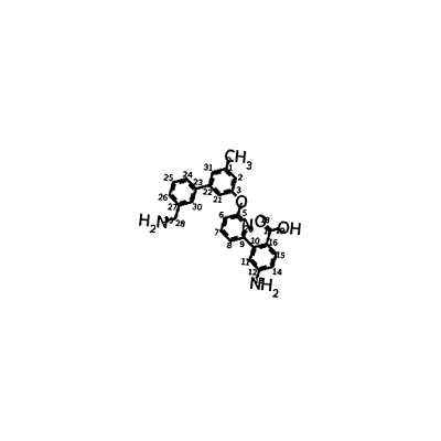 Cc1cc(Oc2cccc(-c3cc(N)ccc3C(=O)O)n2)cc(-c2cccc(CN)c2)c1